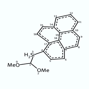 COC(OC)[SiH2]c1ccc2ccc3cccc4ccc1c2c34